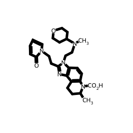 CC1CCc2c(ccc3c2nc(CCn2ccccc2=O)n3CCN(C)C2CCOCC2)N1C(=O)O